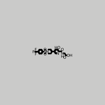 O=C(O)CNC(=O)c1ncc(C2=CCN(S(=O)(=O)c3ccc(C(F)(F)F)cc3)CC2)cc1O